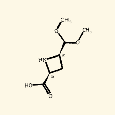 COC(OC)[C@H]1C[C@@H](C(=O)O)N1